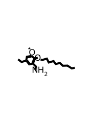 CCCCCCCCCCOc1c(CN)cc(CC)cc1OC